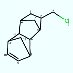 ClCC1CC2CC1C1C3C=CC(C3)C21